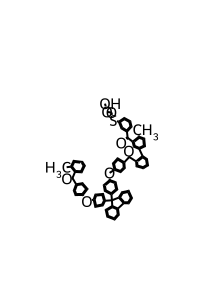 Cc1ccccc1C(=O)c1ccc(Oc2ccc(C3(c4ccc(Oc5ccc(C(=O)c6ccccc6-c6ccc(C)c(C(=O)c7cccc(SOOO)c7)c6)cc5)cc4)c4ccccc4-c4ccccc43)cc2)cc1